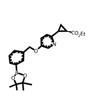 CCOC(=O)[C@@H]1CC1c1ccc(OCc2cccc(B3OC(C)(C)C(C)(C)O3)c2)cn1